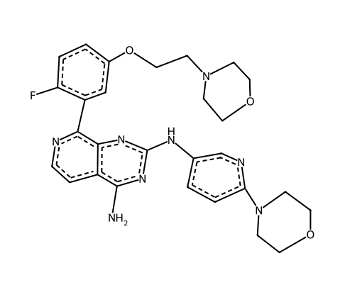 Nc1nc(Nc2ccc(N3CCOCC3)nc2)nc2c(-c3cc(OCCN4CCOCC4)ccc3F)nccc12